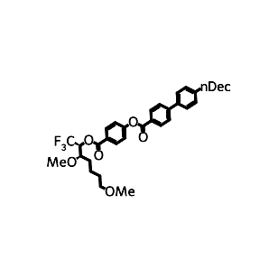 CCCCCCCCCCc1ccc(-c2ccc(C(=O)Oc3ccc(C(=O)O[C@@H]([C@@H](CCCCOC)OC)C(F)(F)F)cc3)cc2)cc1